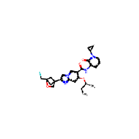 CC[C@H](C)Oc1cc2nc(C34COC(CF)(C3)C4)cn2cc1C(=O)Nc1cccn(C2CC2)c1=O